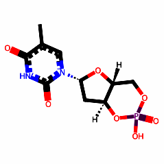 Cc1cn([C@H]2C[C@@H]3OP(=O)(O)OC[C@H]3O2)c(=O)[nH]c1=O